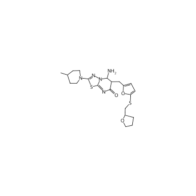 CC1CCN(C2=NN3C(=NC(=O)C(Cc4ccc(SCC5CCCO5)o4)C3N)S2)CC1